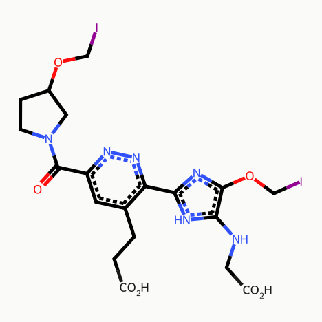 O=C(O)CCc1cc(C(=O)N2CCC(OCI)C2)nnc1-c1nc(OCI)c(NCC(=O)O)[nH]1